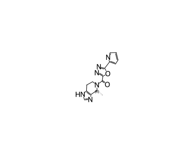 C[C@@H]1c2nc[nH]c2CCN1C(=O)c1nnc(-c2ccccn2)o1